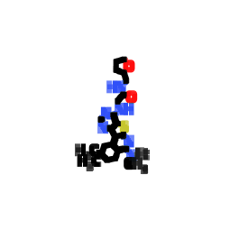 CCN(C)c1nc2sc3c(NCC(=O)NCC4CCCO4)ncnc3c2c2c1CCC(C)(C)C2